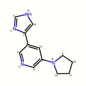 c1nc(-c2cncc(N3CCCC3)c2)c[nH]1